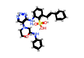 O=S(=O)(O)c1c(C=Cc2ccccc2)cccc1Nc1nnncc1N1CCOC(Nc2ccccc2)C1